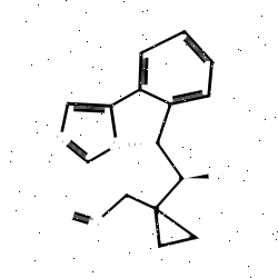 C=NCC1([C@H](O)[C@H]2c3ccccc3-c3cncn32)CC1